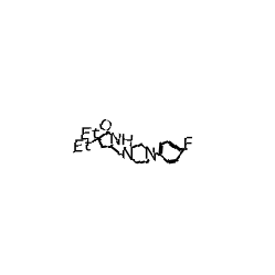 CCC1(CC)CC(CN2CCN(c3ccc(F)cc3)CC2)NC1=O